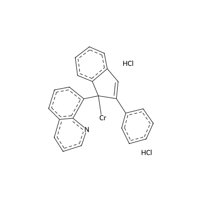 Cl.Cl.[Cr][C]1(c2cccc3cccnc23)C(c2ccccc2)=Cc2ccccc21